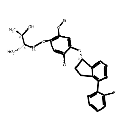 CCOc1cc(O[C@H]2CCc3c(-c4ccccc4F)cccc32)c(Cl)cc1CN[C@H](C(=O)O)[C@@H](C)O